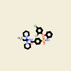 CCC(NC(=O)c1ccc(S(=O)(=O)Nc2ccccc2Oc2ccc(Cl)cc2Cl)cc1)(N1CCCCC1)N1CCCCC1